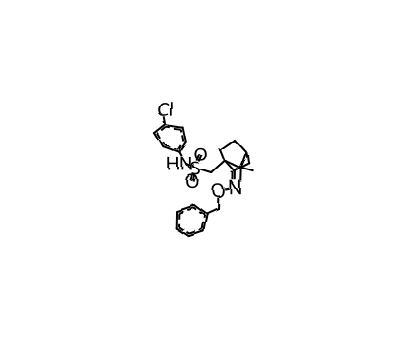 CC1(C)C2CCC1(CS(=O)(=O)Nc1ccc(Cl)cc1)C(=NOCc1ccccc1)C2